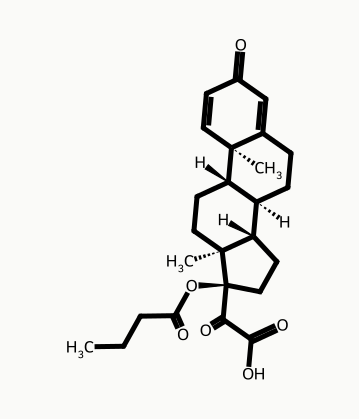 CCCC(=O)O[C@]1(C(=O)C(=O)O)CC[C@H]2[C@@H]3CCC4=CC(=O)C=C[C@]4(C)[C@H]3CC[C@@]21C